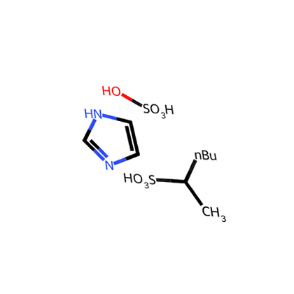 CCCCC(C)S(=O)(=O)O.O=S(=O)(O)O.c1c[nH]cn1